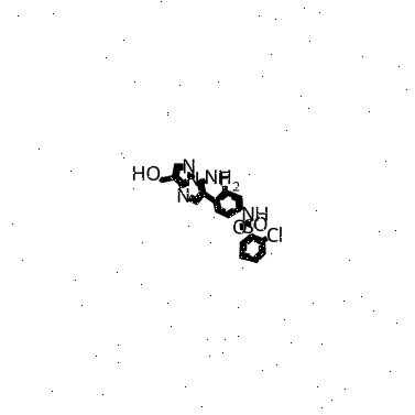 Nc1c(-c2ccc(NS(=O)(=O)c3ccccc3Cl)cc2F)cnc2c(CO)cnn12